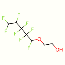 OCCOC(F)C(F)(F)C(F)(F)C(F)C(F)F